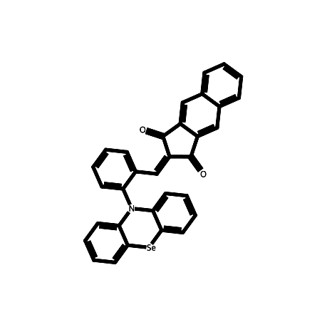 O=C1C(=Cc2ccccc2N2c3ccccc3[Se]c3ccccc32)C(=O)c2cc3ccccc3cc21